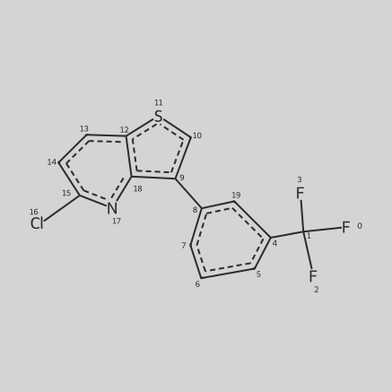 FC(F)(F)c1cccc(-c2csc3ccc(Cl)nc23)c1